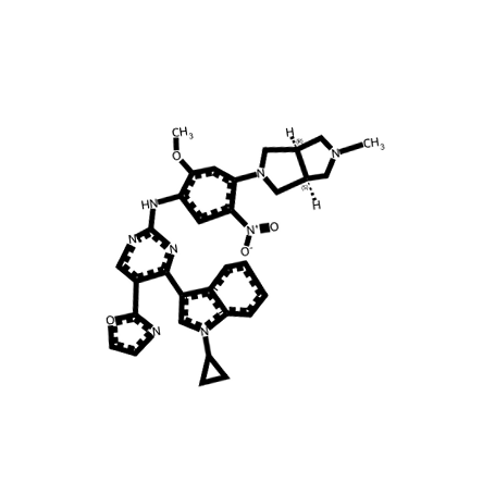 COc1cc(N2C[C@H]3CN(C)C[C@H]3C2)c([N+](=O)[O-])cc1Nc1ncc(-c2ncco2)c(-c2cn(C3CC3)c3ccccc23)n1